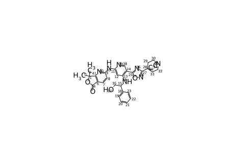 CC1(C)OC(=O)c2ccc(Nc3cc(NC(CO)c4ccccc4)c(-c4nc(C56CCN(CC5)CC6)no4)cn3)nc21